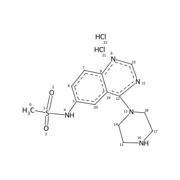 CS(=O)(=O)Nc1ccc2ncnc(N3CCNCC3)c2c1.Cl.Cl